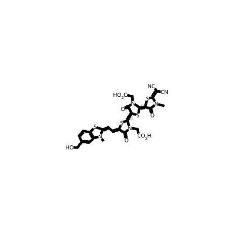 CN1C(=CC=c2s/c(=c3/s/c(=c4/sc(=C(C#N)C#N)n(C)c4=O)n(CC(=O)O)c3=O)n(CC(=O)O)c2=O)Sc2ccc(CO)cc21